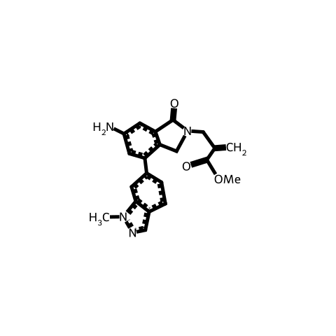 C=C(CN1Cc2c(cc(N)cc2-c2ccc3cnn(C)c3c2)C1=O)C(=O)OC